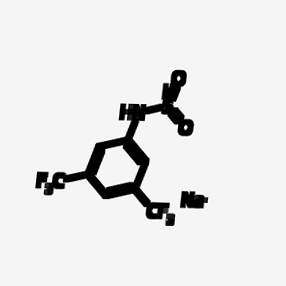 O=[SH](=O)Nc1cc(C(F)(F)F)cc(C(F)(F)F)c1.[Na]